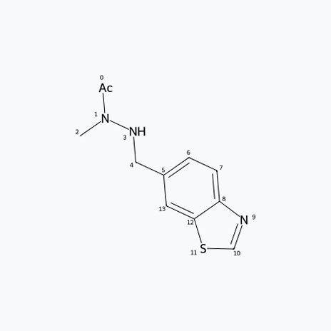 CC(=O)N(C)NCc1ccc2ncsc2c1